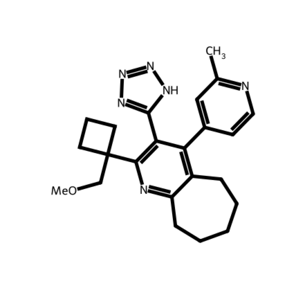 COCC1(c2nc3c(c(-c4ccnc(C)c4)c2-c2nnn[nH]2)CCCCC3)CCC1